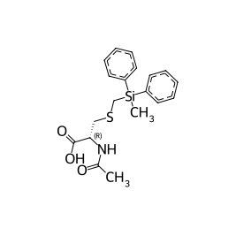 CC(=O)N[C@@H](CSC[Si](C)(c1ccccc1)c1ccccc1)C(=O)O